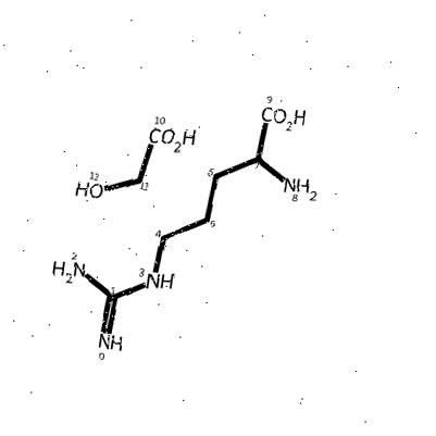 N=C(N)NCCCC(N)C(=O)O.O=C(O)CO